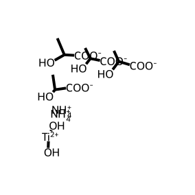 CC(O)C(=O)[O-].CC(O)C(=O)[O-].CC(O)C(=O)[O-].CC(O)C(=O)[O-].[NH4+].[NH4+].[OH][Ti+2][OH]